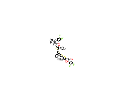 CCCCc1cc(C=C2C(=O)c3cc(F)c(F)cc3C2=O)sc1-c1cc2c(s1)-c1sc(-c3sc(/C=C(/C)C(=O)c4cc(F)c(F)cc4C=O)cc3CCCC)cc1C21CCCCC1